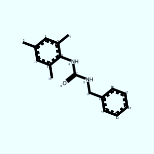 Cc1cc(C)c(NC(=O)NCc2ccccc2)c(C)c1